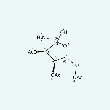 CC(=O)OC[C@H]1O[C@](N)(O)[C@H](OC(C)=O)[C@@H]1OC(C)=O